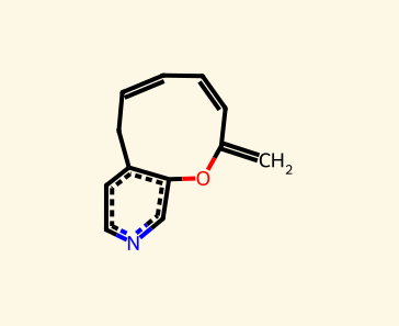 C=C1/C=C\C=C/Cc2ccncc2O1